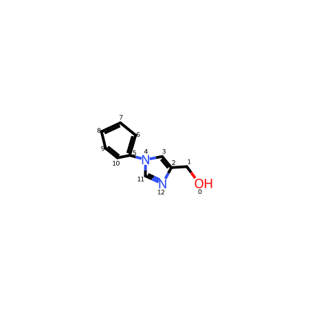 OCc1cn(-c2ccccc2)cn1